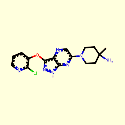 CC1(N)CCN(c2cnc3c(Oc4cccnc4Cl)n[nH]c3n2)CC1